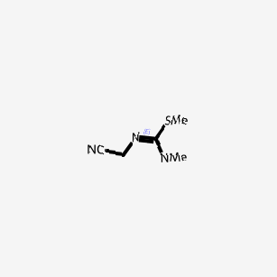 CN/C(=N\CC#N)SC